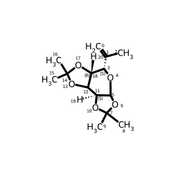 C=C(C)[C@@H]1OC2OC(C)(C)O[C@H]2C2OC(C)(C)O[C@@H]21